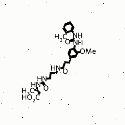 COc1cc(CCC(=O)NCCCNC(=O)NC(C)CC(=O)O)ccc1NC(=O)Nc1ccccc1C